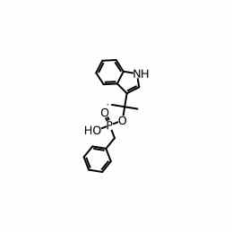 [CH2]C(C)(OP(=O)(O)Cc1ccccc1)c1c[nH]c2ccccc12